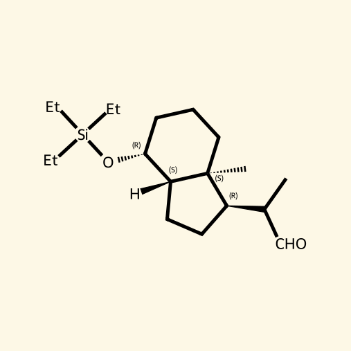 CC[Si](CC)(CC)O[C@@H]1CCC[C@@]2(C)[C@@H](C(C)C=O)CC[C@H]12